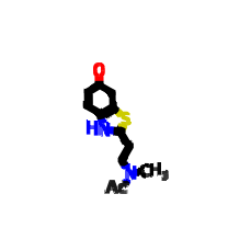 CC(=O)N(C)CCC1NC2=C(CC(=O)C=C2)S1